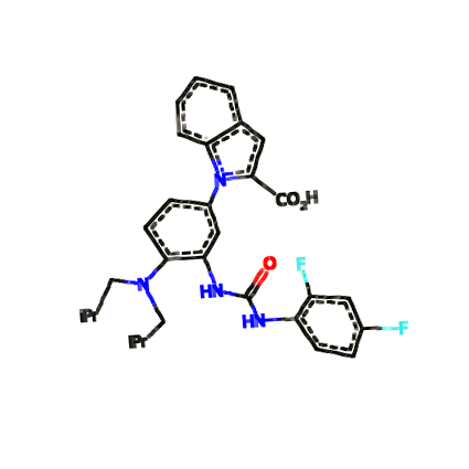 CC(C)CN(CC(C)C)c1ccc(-n2c(C(=O)O)cc3ccccc32)cc1NC(=O)Nc1ccc(F)cc1F